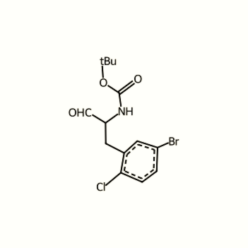 CC(C)(C)OC(=O)NC(C=O)Cc1cc(Br)ccc1Cl